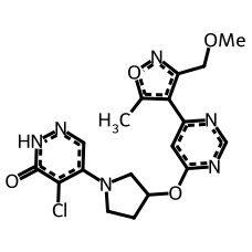 COCc1noc(C)c1-c1cc(OC2CCN(c3cn[nH]c(=O)c3Cl)C2)ncn1